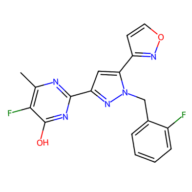 Cc1nc(-c2cc(-c3ccon3)n(Cc3ccccc3F)n2)nc(O)c1F